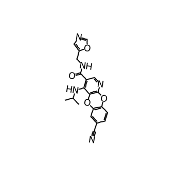 CC(C)Nc1c(C(=O)NCc2cnco2)cnc2c1Oc1cc(C#N)ccc1O2